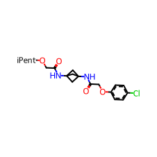 CCCC(C)OCC(=O)NC12CC(NC(=O)COc3ccc(Cl)cc3)(C1)C2